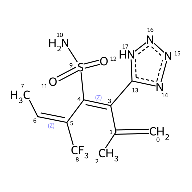 C=C(C)/C(=C(\C(=C/C)C(F)(F)F)S(N)(=O)=O)c1nnn[nH]1